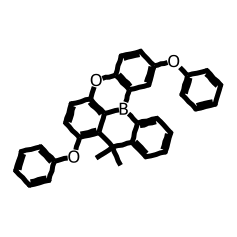 CC1(C)c2ccccc2B2c3cc(Oc4ccccc4)ccc3Oc3ccc(Oc4ccccc4)c1c32